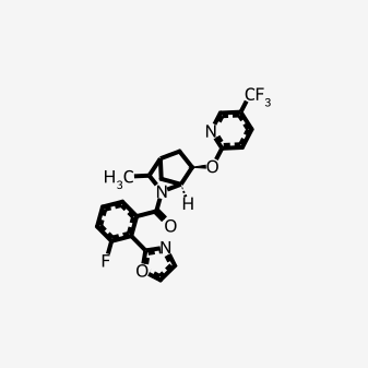 CC1C2C[C@@H](Oc3ccc(C(F)(F)F)cn3)[C@H](C2)N1C(=O)c1cccc(F)c1-c1ncco1